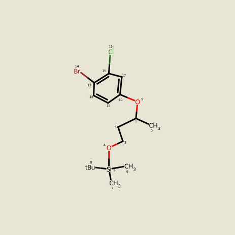 CC(CCO[Si](C)(C)C(C)(C)C)Oc1ccc(Br)c(Cl)c1